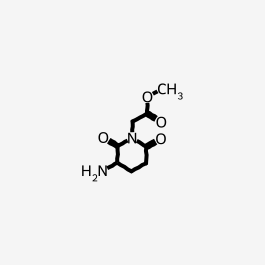 COC(=O)CN1C(=O)CCC(N)C1=O